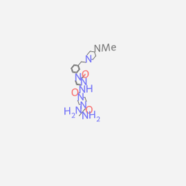 CNC1CCN(CCc2cccc(-n3ccc(NC(=O)N4CCN(C(=O)C(C)(N)N)CC4)nc3=O)c2)CC1